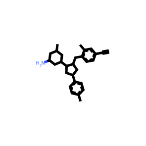 C#Cc1ccc(CC2CC(c3ccc(C)cc3)CC2C2CC(C)CC(N)C2)c(C)c1